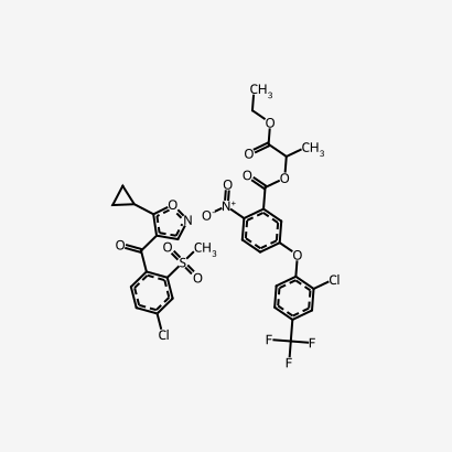 CCOC(=O)C(C)OC(=O)c1cc(Oc2ccc(C(F)(F)F)cc2Cl)ccc1[N+](=O)[O-].CS(=O)(=O)c1cc(Cl)ccc1C(=O)c1cnoc1C1CC1